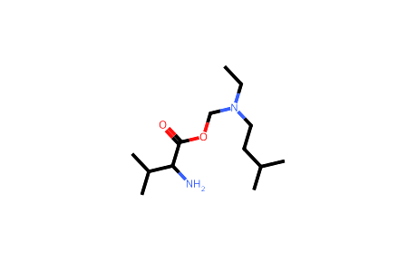 CCN(CCC(C)C)COC(=O)C(N)C(C)C